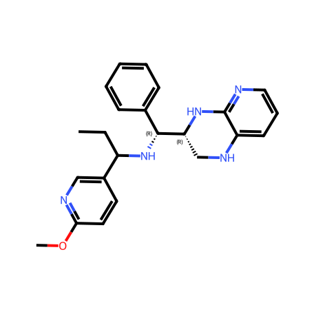 CCC(N[C@H](c1ccccc1)[C@H]1CNc2cccnc2N1)c1ccc(OC)nc1